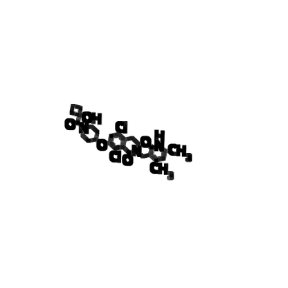 Cc1cc(C)c(CN2CCc3c(Cl)cc(OC4CCN(C(=O)C5(O)CCC5)CC4)c(Cl)c3C2=O)c(=O)[nH]1